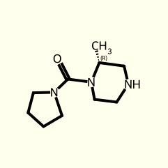 C[C@@H]1CNCCN1C(=O)N1CCCC1